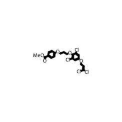 COC(=O)c1ccc(OCCCOc2c(Cl)cc(OCC=C(Cl)Cl)cc2Cl)cc1